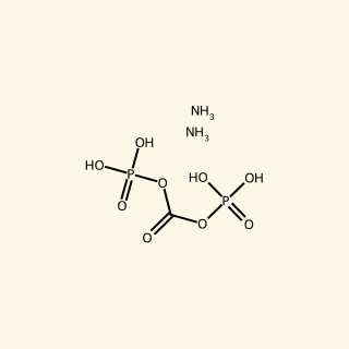 N.N.O=C(OP(=O)(O)O)OP(=O)(O)O